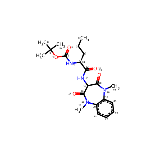 CCC[C@H](NC(=O)OC(C)(C)C)C(=O)NC1C(=O)N(C)c2ccccc2N(C)C1=O